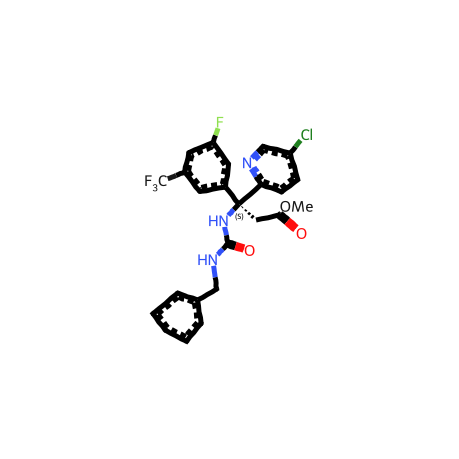 COC(=O)C[C@](NC(=O)NCc1ccccc1)(c1cc(F)cc(C(F)(F)F)c1)c1ccc(Cl)cn1